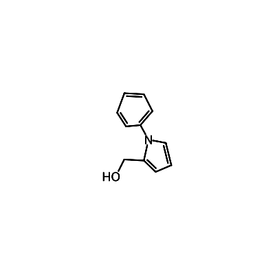 OCc1cccn1-c1ccccc1